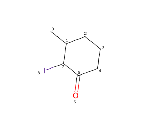 CC1CCCC(=O)C1I